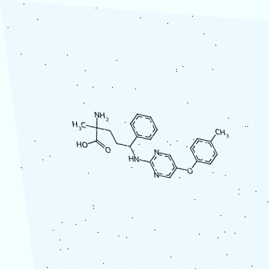 Cc1ccc(Oc2cnc(NC(CCC(C)(N)C(=O)O)c3ccccc3)nc2)cc1